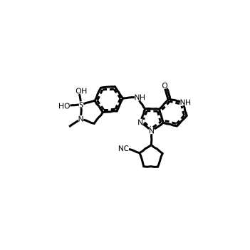 CN1Cc2cc(Nc3nn(C4CCCC4C#N)c4cc[nH]c(=O)c34)ccc2S1(O)O